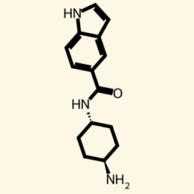 N[C@H]1CC[C@H](NC(=O)c2ccc3[nH]ccc3c2)CC1